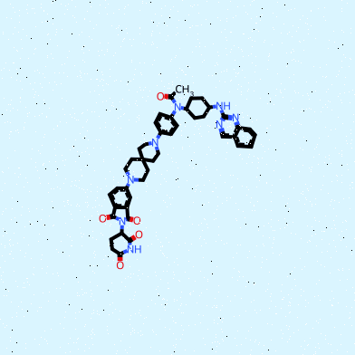 CC(=O)N(c1ccc(N2CCC3(CC2)CCN(c2ccc4c(c2)C(=O)N(C2CCC(=O)NC2=O)C4=O)CC3)cc1)C1CCC(Nc2ncc3ccccc3n2)CC1